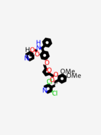 COc1ccc([C@H](Cc2c(Cl)cncc2Cl)OC(=O)c2ccc(COc3ccc(C(NC(=O)O[C@H]4CN5CCC4CC5)c4ccccc4)cc3)o2)cc1OC